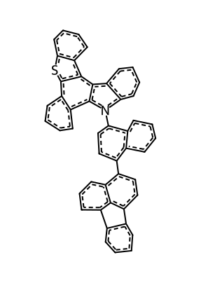 c1ccc2c(c1)-c1cccc3c(-c4ccc(-n5c6ccccc6c6c7c8ccccc8sc7c7ccccc7c65)c5ccccc45)ccc-2c13